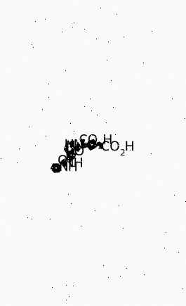 CN1CCc2cc(NC(=O)Nc3ccccc3)ccc2C1C(=O)NC(Cc1ccc(CCC(=O)O)cc1)C(=O)O